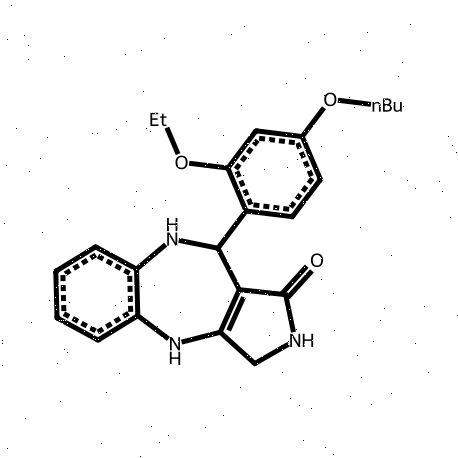 CCCCOc1ccc(C2Nc3ccccc3NC3=C2C(=O)NC3)c(OCC)c1